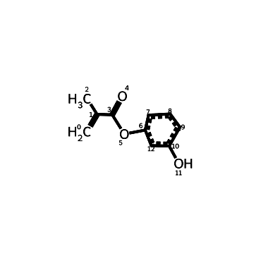 C=C(C)C(=O)Oc1cc[c]c(O)c1